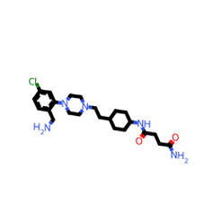 NCc1ccc(Cl)cc1N1CCN(CCC2CCC(NC(=O)CCC(N)=O)CC2)CC1